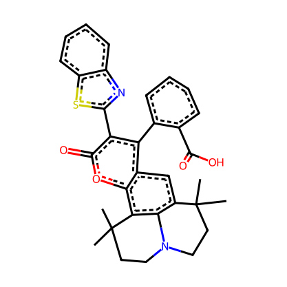 CC1(C)CCN2CCC(C)(C)c3c2c1cc1c(-c2ccccc2C(=O)O)c(-c2nc4ccccc4s2)c(=O)oc31